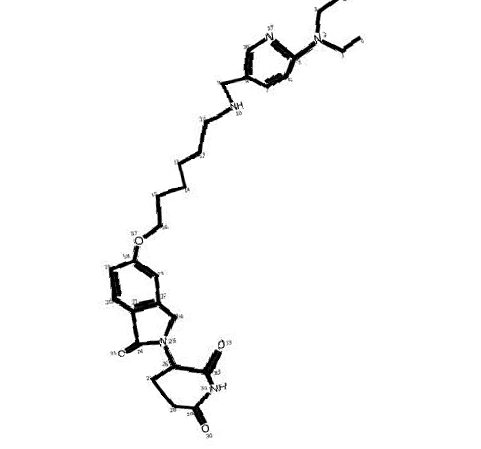 CCN(CC)c1ccc(CNCCCCCCOc2ccc3c(c2)CN(C2CCC(=O)NC2=O)C3=O)cn1